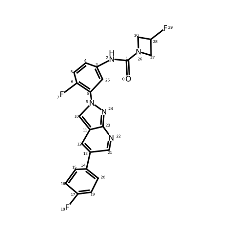 O=C(Nc1ccc(F)c(-n2cc3cc(-c4ccc(F)cc4)cnc3n2)c1)N1CC(F)C1